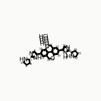 Cl.Cl.Cl.Cl.c1nc([C@@H]2CCCN2)[nH]c1-c1cc2c3c(c1)OCc1cc(-c4cnc([C@@H]5CCCN5)[nH]4)cc(c1-3)OC2